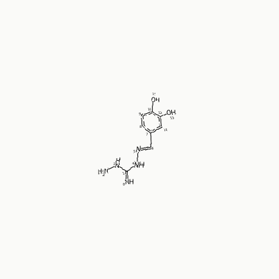 N=C(NN)NN=Cc1ccc(O)c(O)c1